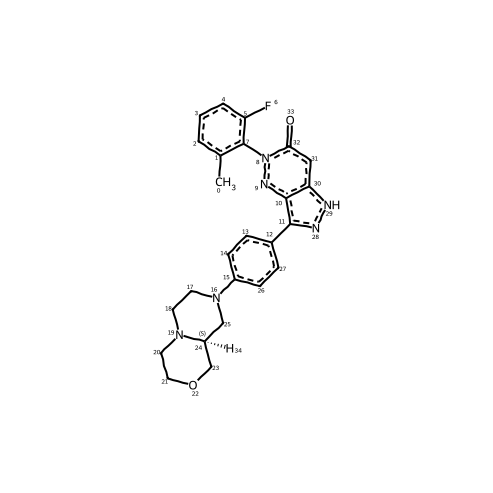 Cc1cccc(F)c1-n1nc2c(-c3ccc(N4CCN5CCOC[C@@H]5C4)cc3)n[nH]c2cc1=O